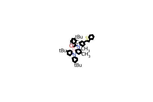 Cc1cc2c3c(c1)N(c1c(C)cc(-c4cc5ccccc5s4)cc1C)c1c(oc4ccc(C(C)(C)C)cc14)B3c1cc(C(C)(C)C)ccc1N2c1ccc(C(C)(C)C)cc1